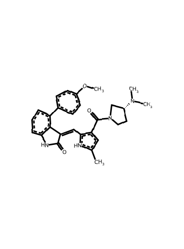 COc1ccc(-c2cccc3c2C(=Cc2[nH]c(C)cc2C(=O)N2CC[C@@H](N(C)C)C2)C(=O)N3)cc1